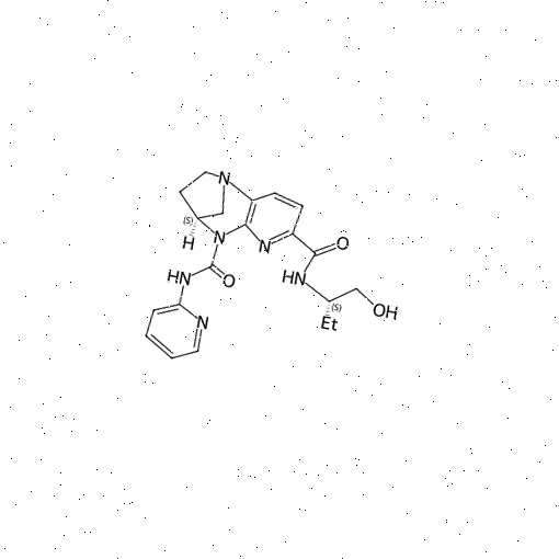 CC[C@@H](CO)NC(=O)c1ccc2c(n1)N(C(=O)Nc1ccccn1)[C@H]1CCN2C1